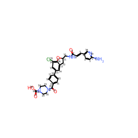 Nc1ccc(C=CC(=O)NCC2Cc3cc(-c4ccc(C(=O)N5CCN(C(=O)O)CC5)cc4)cc(Cl)c3O2)cn1